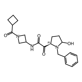 O=C(NC1CN(C(=O)C2CCC2)C1)C(=O)[C@H]1CCC(O)N1Cc1ccccc1